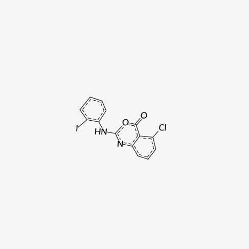 O=c1oc(Nc2ccccc2I)nc2cccc(Cl)c12